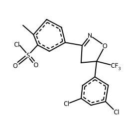 Cc1ccc(C2=NOC(c3cc(Cl)cc(Cl)c3)(C(F)(F)F)C2)cc1S(=O)(=O)Cl